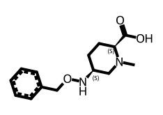 CN1C[C@@H](NOCc2ccccc2)CC[C@H]1C(=O)O